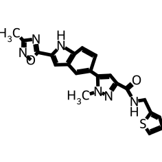 Cc1noc(-c2cc3cc(-c4cc(C(=O)NCc5cccs5)nn4C)ccc3[nH]2)n1